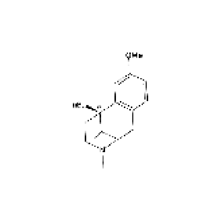 CCCC[C@@]12CCN(C)C(Cc3ccc(OC)cc31)C2C